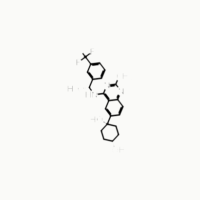 Cc1nc(N[C@H](C)c2cccc(C(F)(F)F)c2)c2cc([C@]3(O)CC[C@H](O)CC3)ccc2n1